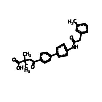 Cc1cccc(CC(=O)Nc2ccc(-c3ccc(C(=O)CC(C)(C)C(=O)O)cc3)cc2)c1